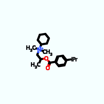 CC(C[N+](C)(C)C1CCCCC1)OC(=O)c1ccc(C(C)C)cc1